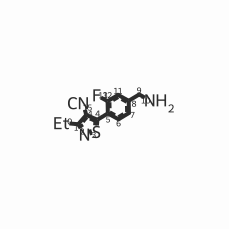 CCc1nsc(-c2ccc(CN)cc2F)c1C#N